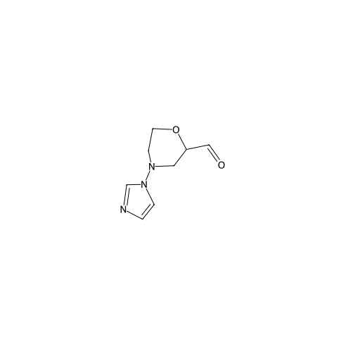 O=CC1CN(n2ccnc2)CCO1